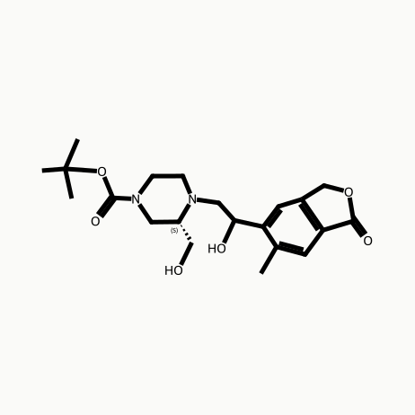 Cc1cc2c(cc1C(O)CN1CCN(C(=O)OC(C)(C)C)C[C@H]1CO)COC2=O